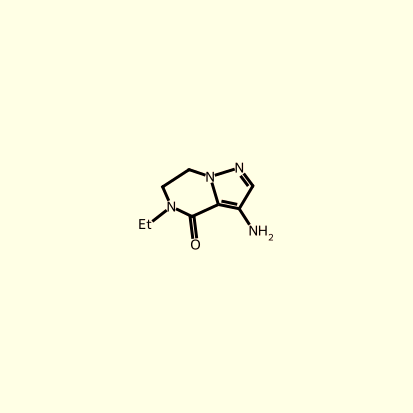 CCN1CCn2ncc(N)c2C1=O